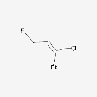 CC/C(Cl)=C\CF